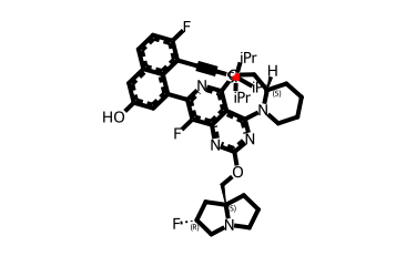 CC(C)[Si](C#Cc1c(F)ccc2cc(O)cc(-c3nc4c5c(nc(OC[C@@]67CCCN6C[C@H](F)C7)nc5c3F)N3CCCC[C@H]3CO4)c12)(C(C)C)C(C)C